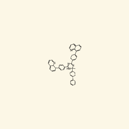 CC1(C2=CC=C(c3ccccc3)CC2)N=C(C2=CC=C(c3cccc4cccnc34)CC2)N=C(c2ccc(C3C=CC=C4C=CC=NC43)cc2)N1